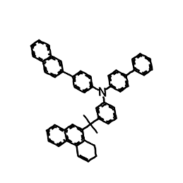 CC(C)(c1cccc(N(c2ccc(-c3ccccc3)cc2)c2ccc(-c3ccc4ccccc4c3)cc2)c1)c1cc2ccccc2c2c1CCC=C2